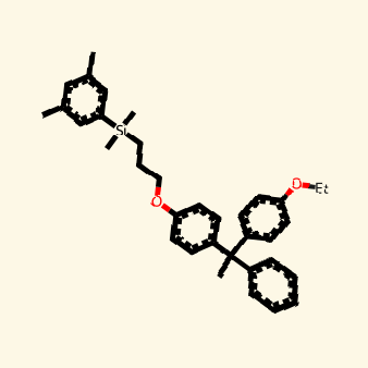 CCOc1ccc(C(C)(c2ccccc2)c2ccc(OCCC[Si](C)(C)c3cc(C)cc(C)c3)cc2)cc1